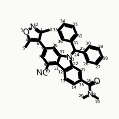 Cc1noc(C)c1-c1cc(C#N)c2c3ccc(C(=O)N(C)C)cc3n(C(c3ccccc3)c3ccccc3)c2c1